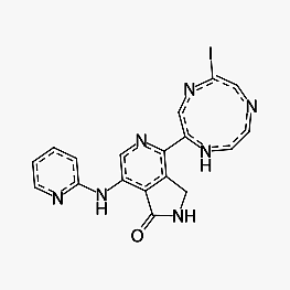 O=C1NCc2c(-c3cnc(I)cncc[nH]3)ncc(Nc3ccccn3)c21